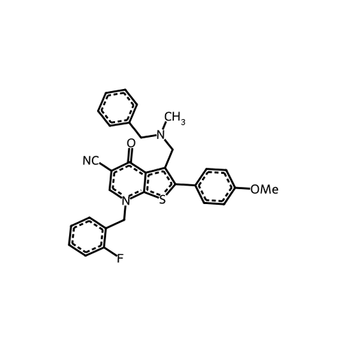 COc1ccc(-c2sc3c(c2CN(C)Cc2ccccc2)c(=O)c(C#N)cn3Cc2ccccc2F)cc1